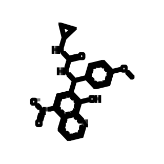 COc1ccc(C(NC(=O)NC2CC2)c2cc([N+](=O)[O-])c3cccnc3c2O)cc1